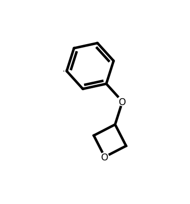 [c]1cccc(OC2COC2)c1